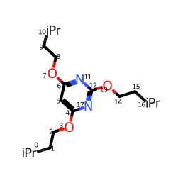 CC(C)CCOc1cc(OCCC(C)C)nc(OCCC(C)C)n1